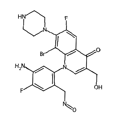 Nc1cc(-n2cc(CO)c(=O)c3cc(F)c(N4CCNCC4)c(Br)c32)c(CN=O)cc1F